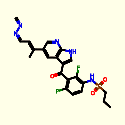 C=N/N=C\C=C(/C)c1cnc2[nH]cc(C(=O)c3c(F)ccc(NS(=O)(=O)CCC)c3F)c2c1